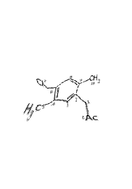 CC(=O)Cc1cc(C)c(Cl)cc1C